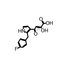 O=C(O)/C(O)=C/C(=O)c1cc[nH]c1Cc1ccc(F)cc1